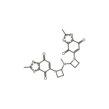 Cc1nc2c(s1)C(=O)C(N1CCC1N(C)C1CCN1C1=CC(=O)c3nc(C)sc3C1=O)=CC2=O